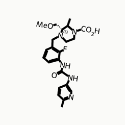 COC[C@@H]1C(C)N(C(=O)O)CCN1Cc1cccc(NC(=O)Nc2ccc(C)nc2)c1F